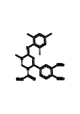 CNC(=O)N1CN(C)C(=Nc2c(C)cc(C)cc2C)C=C1c1ccc(OC)c(OC)c1